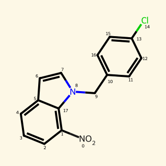 O=[N+]([O-])c1cccc2ccn(Cc3ccc(Cl)cc3)c12